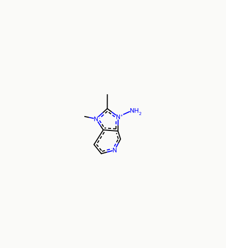 Cc1n(C)c2ccncc2[n+]1N